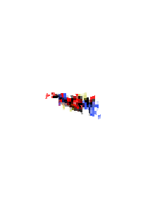 Nc1nc2c(ccn2[C@@H]2O[C@@H]3COP(=O)(S)OC4C(O)[C@H](n5ccc6c(NCCO)ncnc65)O[C@@H]4COP(=O)(S)OC2C3O)c(=O)[nH]1